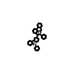 c1ccc(-c2c(-c3ccc4c(c3)c3ccccc3n4-c3ccccc3)c3cccc4c3n2Cc2ccccc2-4)cc1